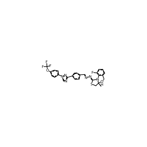 CC1(O)CSC(=NN=Cc2ccc(-c3ncn(-c4ccc(OC(F)(F)F)cc4)n3)cc2)N1c1c(F)cccc1F